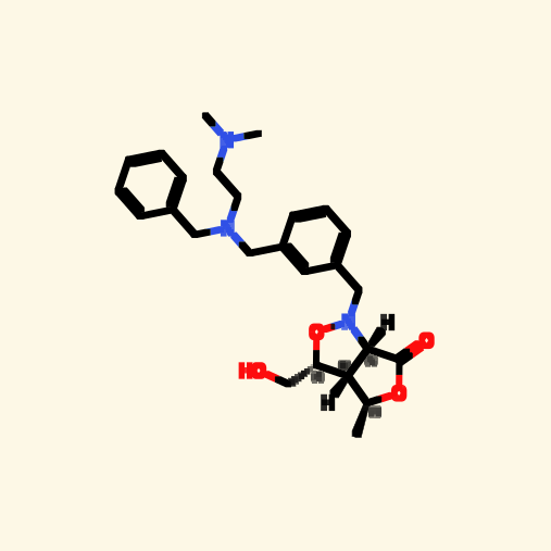 C[C@@H]1OC(=O)[C@@H]2[C@H]1[C@H](CO)ON2Cc1cccc(CN(CCN(C)C)Cc2ccccc2)c1